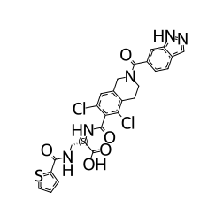 O=C(NC[C@H](NC(=O)c1c(Cl)cc2c(c1Cl)CCN(C(=O)c1ccc3cn[nH]c3c1)C2)C(=O)O)c1cccs1